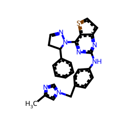 Cc1cn(Cc2ccc(Nc3nc(N4N=CCC4c4ccccc4)c4sccc4n3)cc2)cn1